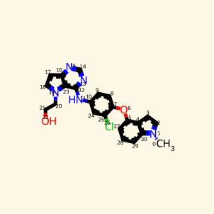 Cn1ccc2c(Oc3ccc(Nc4ncnc5ccn(CCO)c45)cc3Cl)cccc21